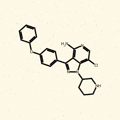 Nc1ncc(Cl)c2c1c(-c1ccc(Oc3ccccc3)cc1)nn2C1CCCNC1